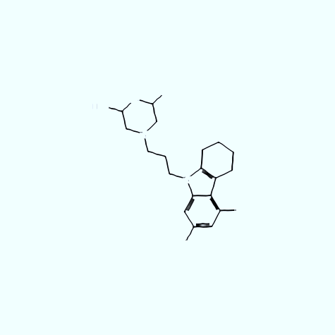 CC1CN(CCCn2c3c(c4c(Cl)cc(Cl)cc42)CCCC3)CC(C)O1